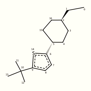 CC[C@H]1CC[C@H](c2ccc(C(C)(C)C)s2)CC1